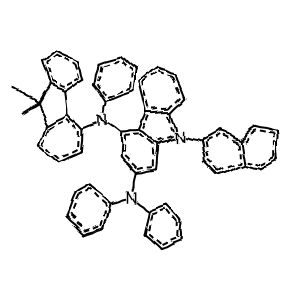 CC1(C)c2ccccc2-c2c(N(c3ccccc3)c3cc(N(c4ccccc4)c4ccccc4)cc4c3c3ccccc3n4-c3ccc4ccccc4c3)cccc21